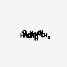 Cc1cc(NCc2nc3cc(Nc4ccccc4)ccc3[nH]2)ccn1